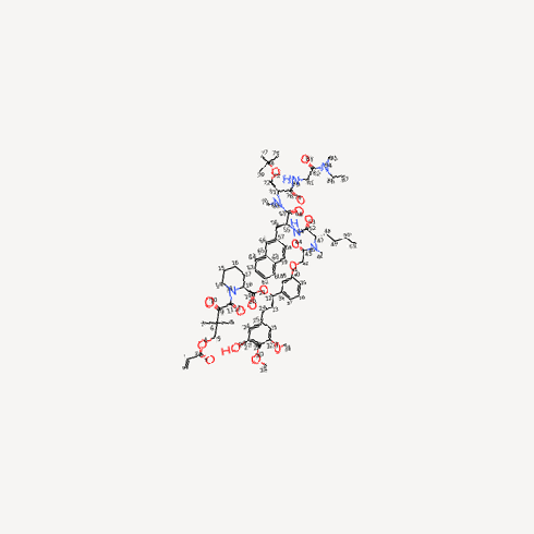 C=CC(=O)OCC(C)(C)C(=O)C(=O)N1CCCC[C@H]1C(=O)O[C@H](CCc1cc(O)c(OC)c(OC)c1)c1cccc(OCC(=O)N(C)[C@@H](CCCC)C(=O)N[C@@H](Cc2ccc3ccccc3c2)C(=O)N(C)[C@@H](COC(C)(C)C)C(=O)NCC(=O)N(C)CC)c1